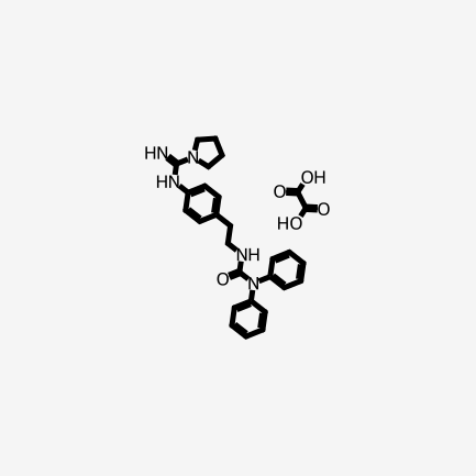 N=C(Nc1ccc(CCNC(=O)N(c2ccccc2)c2ccccc2)cc1)N1CCCC1.O=C(O)C(=O)O